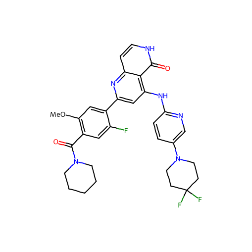 COc1cc(-c2cc(Nc3ccc(N4CCC(F)(F)CC4)cn3)c3c(=O)[nH]ccc3n2)c(F)cc1C(=O)N1CCCCC1